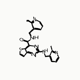 Cc1ncccc1CNC(=O)c1nc(NCc2cccnc2C)nc2ccsc12